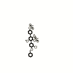 COc1cc(-c2ccc(OS(C)(=O)=O)cc2)c(OC)c(OS(C)(=O)=O)c1-c1ccc(OCc2ccccc2)c(Cl)c1